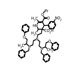 CC1=C(C(=O)OC(C)C)C(c2cccc([N+](=O)[O-])c2)C(CCN(CCN(Cc2ccccc2)C(C)COc2ccccc2)CCN(Cc2ccccc2)C(C)COc2ccccc2)(C(=O)O)C(C)N1